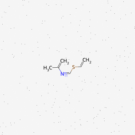 C=CS/C=N\C(=C)C